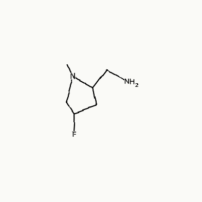 CN1CC(F)CC1CN